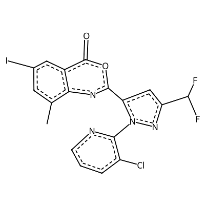 Cc1cc(I)cc2c(=O)oc(-c3cc(C(F)F)nn3-c3ncccc3Cl)nc12